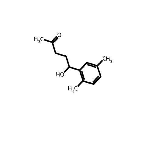 CC(=O)CCC(O)c1cc(C)ccc1C